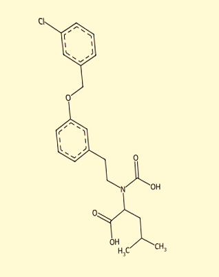 CC(C)CC(C(=O)O)N(CCc1cccc(OCc2cccc(Cl)c2)c1)C(=O)O